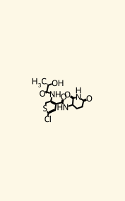 C[C@H](O)C(=O)NC1=C(C(=O)NC2CCC(=O)NC2=O)C=C(Cl)SC1